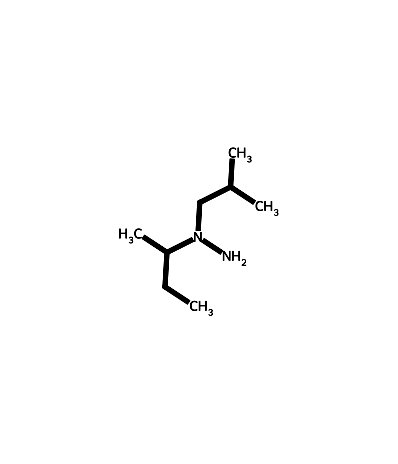 CCC(C)N(N)CC(C)C